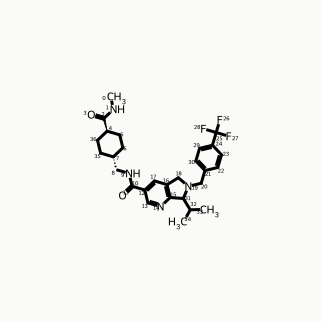 CNC(=O)[C@H]1CC[C@H](CNC(=O)c2cnc3c(c2)CN(Cc2ccc(C(F)(F)F)cc2)C3C(C)C)CC1